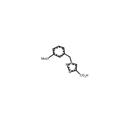 COc1cccc(Cn2cc(C(=O)O)nn2)c1